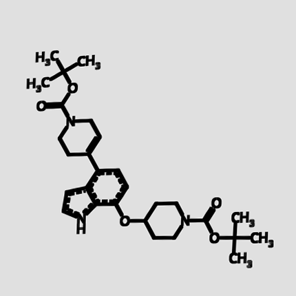 CC(C)(C)OC(=O)N1CC=C(c2ccc(OC3CCN(C(=O)OC(C)(C)C)CC3)c3[nH]ccc23)CC1